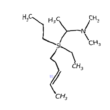 C/C=C/C[Si](CC)(CCC)C(C)N(C)C